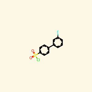 O=S(=O)(Cl)c1ccc(-c2cccc(F)c2)cc1